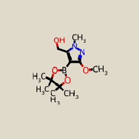 COc1nn(C)c(CO)c1B1OC(C)(C)C(C)(C)O1